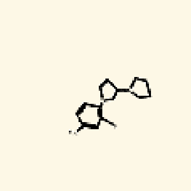 CC(C)(C)c1ccc(N2CCC(N3CCCC3)C2)c(F)c1